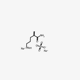 C=C(CCCCCCCCCCCC)C(N)=O.O=S(=O)([O-])[O-].[Na+].[Na+]